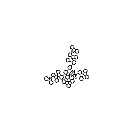 c1ccc2c(c1)-c1ccccc1C21c2ccccc2-c2c(-c3sc(-c4cccc5c4-c4ccccc4C54c5ccccc5-c5ccccc54)c4nc5c6cc(-c7cccc8c7-c7ccccc7C87c8ccccc8-c8c(-n9c%10ccccc%10c%10ccccc%109)cccc87)ccc6c6ccc(-c7cccc8c7-c7ccccc7C87c8ccccc8-c8c(-n9c%10ccccc%10c%10ccccc%109)cccc87)cc6c5nc34)cccc21